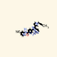 CC#CCN1CCC(c2nc(-c3ccc(C(=O)Nc4cc(C#N)ccn4)cc3)n3c(N)nccc23)C1